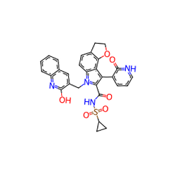 O=C(NS(=O)(=O)C1CC1)c1c(-c2ccc[nH]c2=O)c2c3c(ccc2n1Cc1cc2ccccc2nc1O)CCO3